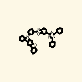 c1ccc(-c2nc(-c3ccccc3)nc(-c3ccc4nc(-c5cccc(-n6c7ccccc7c7cc8c(cc76)oc6ccccc68)c5)oc4c3)n2)cc1